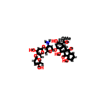 CC[C@@]1(O)C[C@H](O[C@H]2C[C@H](N(C)C)[C@H](O[C@H]3C[C@H](O)[C@H](O[C@H]4CC[C@H](O)[C@H](C)O4)[C@H](C)O3)[C@H](C)O2)c2c(cc3c(c2O)C(=O)c2c(O)cccc2C3=O)[C@H]1C(=O)OC